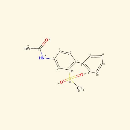 CCCC(=O)Nc1ccc(-c2ccccc2)c(S(C)(=O)=O)c1